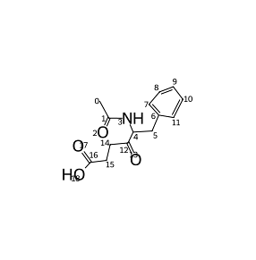 CC(=O)NC(Cc1ccccc1)C(=O)CCC(=O)O